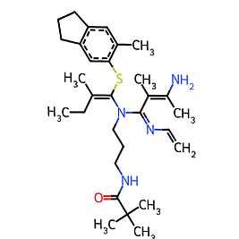 C=C/N=C(\C(C)=C(/C)N)N(CCCNC(=O)C(C)(C)C)/C(Sc1cc2c(cc1C)CCC2)=C(/C)CC